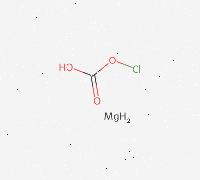 O=C(O)OCl.[MgH2]